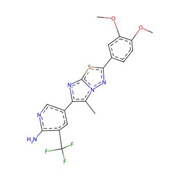 COc1ccc(-c2nn3c(C)c(-c4cnc(N)c(C(F)(F)F)c4)nc3s2)cc1OC